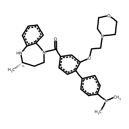 C[C@H]1CCN(C(=O)c2ccc(-c3ccc(N(C)C)cc3)c(OCCN3CCOCC3)c2)c2ccccc2N1